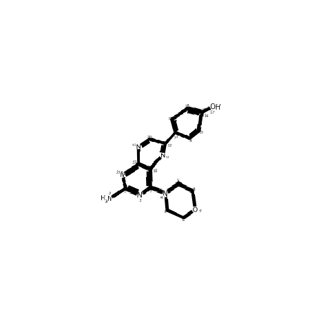 Nc1nc(N2CCOCC2)c2nc(-c3ccc(O)cc3)cnc2n1